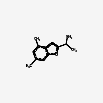 Cc1cc(C)c2cc(C(C)N)oc2c1